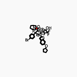 NC1CC2CCC(C1)N2C(=O)C(NS(=O)(=O)c1cc2ccc(OC3CCCC3)cc2s1)C(F)(F)c1ccc(Br)cc1.O=C(O)C(F)(F)F